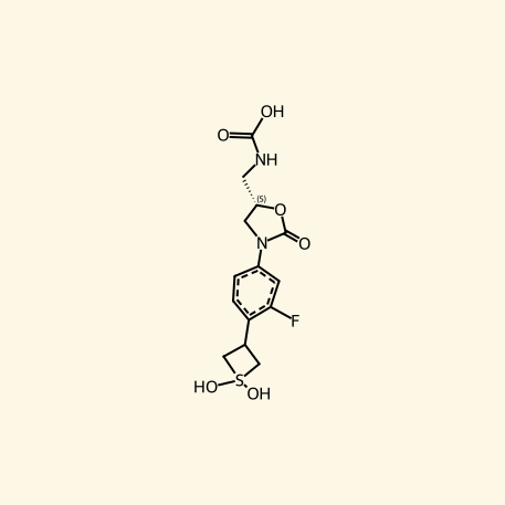 O=C(O)NC[C@H]1CN(c2ccc(C3CS(O)(O)C3)c(F)c2)C(=O)O1